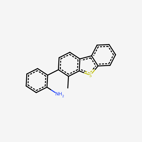 Cc1c(-c2ccccc2N)ccc2c1sc1ccccc12